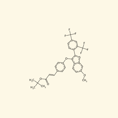 COc1ccc2c(Oc3ccc(C=CC(=O)OC(C)(C)C)cc3)c(-c3ccc(C(F)(F)F)cc3C(F)(F)F)sc2c1